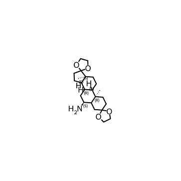 C[C@]12CCC3(CC1[C@@H](N)C[C@@H]1[C@@H]2CC[C@@]2(C)[C@H]1CCC21OCCO1)OCCO3